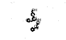 OCC1CCN(c2cc(CN3CCOCC3)cc(Nc3ncc(-c4nnc(-c5ccccc5)o4)s3)n2)CC1